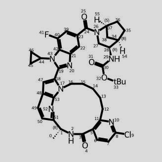 C[C@H]1NC(=O)c2ccc(Cl)nc2CCCCCn2c(-c3nc4cc(C(=O)N5C[C@H](NC(=O)OC(C)(C)C)[C@@H]6CC[C@H]5C6)cc(F)c4n3C3CC3)cc3ccc1nc32